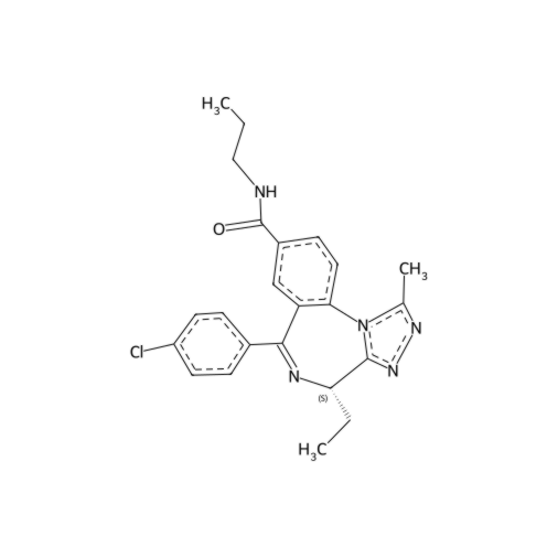 CCCNC(=O)c1ccc2c(c1)C(c1ccc(Cl)cc1)=N[C@@H](CC)c1nnc(C)n1-2